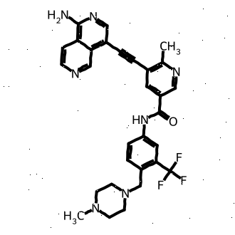 Cc1ncc(C(=O)Nc2ccc(CN3CCN(C)CC3)c(C(F)(F)F)c2)cc1C#Cc1cnc(N)c2ccncc12